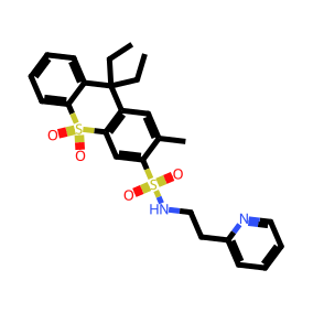 CCC1(CC)c2ccccc2S(=O)(=O)c2cc(S(=O)(=O)NCCc3ccccn3)c(C)cc21